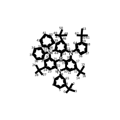 CC(C)(C)c1cccc(N2c3cc(C(C)(C)C)cc4c3B3c5c2cc(C(C)(C)C)cc5[Si](c2ccccc2)(c2ccccc2)c2cc(C(C)(C)C)cc(c23)N4c2cccc(C(C)(C)C)c2)c1